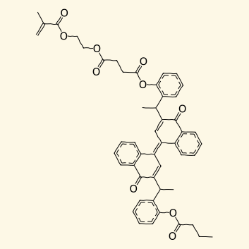 C=C(C)C(=O)OCCOC(=O)CCC(=O)Oc1ccccc1C(C)C1=C/C(=C2/C=C(C(C)c3ccccc3OC(=O)CCC)C(=O)c3ccccc32)c2ccccc2C1=O